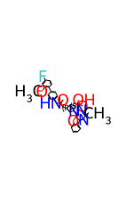 COc1cc(F)ccc1-c1ccc(NC(=O)C[C@H]2C[C@@H](C(=O)O)N(c3nc(C)nc4c3oc3ccccc34)C2)cc1